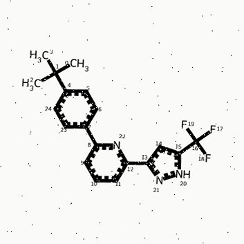 CC(C)(C)c1ccc(-c2cccc(-c3cc(C(F)(F)F)[nH]n3)n2)cc1